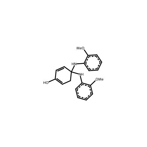 COc1ccccc1NC1(Nc2ccccc2OC)C=CC(O)=CC1